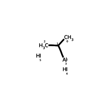 C[CH](C)[Al].I.I